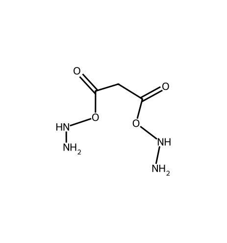 NNOC(=O)CC(=O)ONN